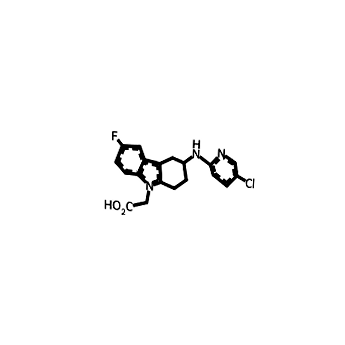 O=C(O)Cn1c2c(c3cc(F)ccc31)CC(Nc1ccc(Cl)cn1)CC2